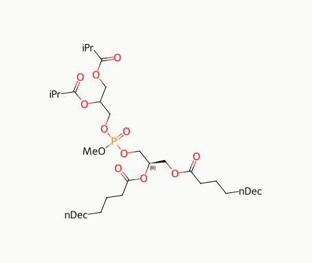 CCCCCCCCCCCCCC(=O)OC[C@H](COP(=O)(OC)OCC(COC(=O)C(C)C)OC(=O)C(C)C)OC(=O)CCCCCCCCCCCCC